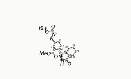 COC(=O)c1cc(N=NC(=O)OC(C)(C)C)ccc1-c1n[nH]c(=O)c2ccccc12